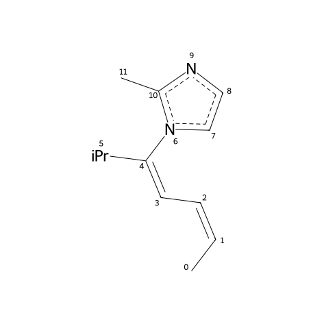 C/C=C\C=C(\C(C)C)n1ccnc1C